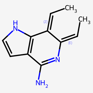 C/C=c1\c(=C/C)nc(N)c2cc[nH]c12